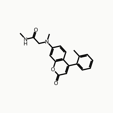 CNC(=O)CN(C)c1ccc2c(-c3ccccc3C)cc(=O)oc2c1